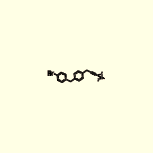 C[Si](C)(C)C#CCc1ccc(Cc2ccc(Br)cc2)cc1